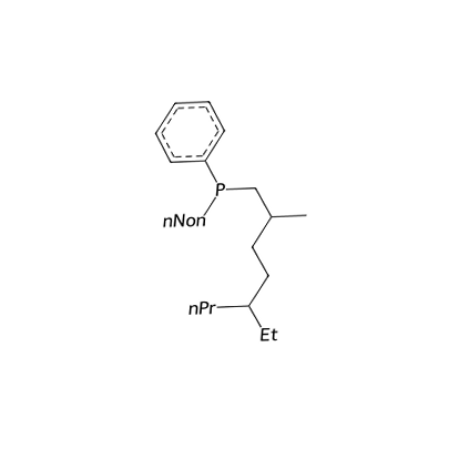 CCCCCCCCCP(CC(C)CCC(CC)CCC)c1ccccc1